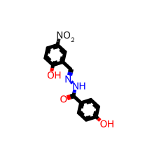 O=C(NN=Cc1cc([N+](=O)[O-])ccc1O)c1ccc(O)cc1